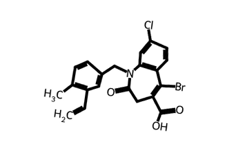 C=Cc1cc(CN2C(=O)CC(C(=O)O)=C(Br)c3ccc(Cl)cc32)ccc1C